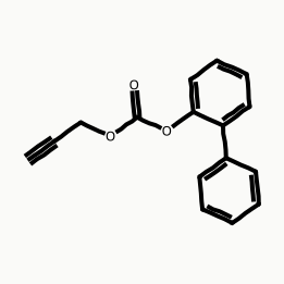 C#CCOC(=O)Oc1ccccc1-c1ccccc1